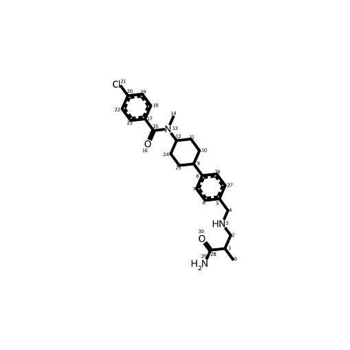 CC(CNCc1ccc(C2CCC(N(C)C(=O)c3ccc(Cl)cc3)CC2)cc1)C(N)=O